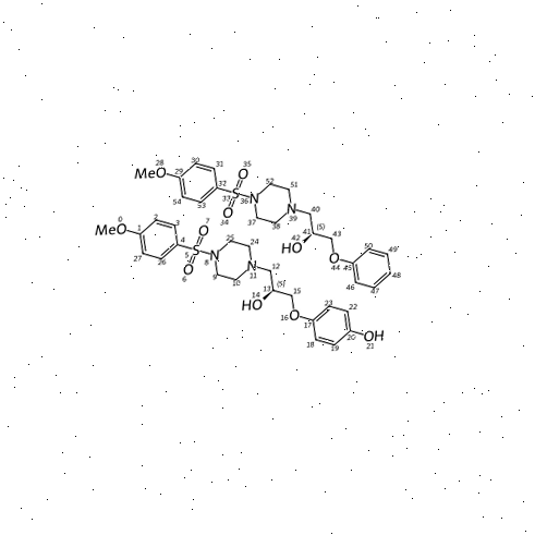 COc1ccc(S(=O)(=O)N2CCN(C[C@H](O)COc3ccc(O)cc3)CC2)cc1.COc1ccc(S(=O)(=O)N2CCN(C[C@H](O)COc3ccccc3)CC2)cc1